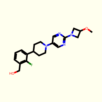 COC1CN(c2ncc(N3CCC(c4cccc(CO)c4F)CC3)cn2)C1